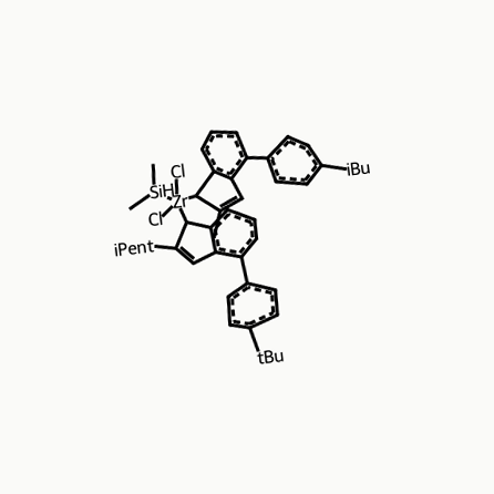 CCCC(C)C1=Cc2c(-c3ccc(C(C)(C)C)cc3)cccc2[CH]1[Zr]([Cl])([Cl])([CH]1C(C)=Cc2c(-c3ccc(C(C)CC)cc3)cccc21)[SiH](C)C